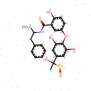 CCOC(=O)C(Cc1ccccc1)NC(=O)c1cc(Oc2c(Br)cc(C(C)(O)[PH2]=O)cc2Br)ccc1O